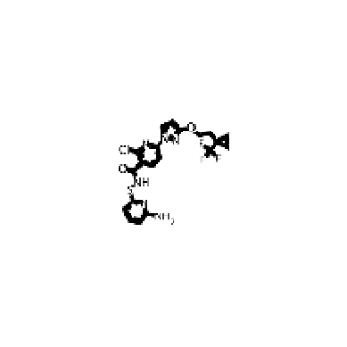 Nc1cccc(SNC(=O)c2ccc(-n3ccc(OCCC4(C(F)(F)F)CC4)n3)nc2Cl)n1